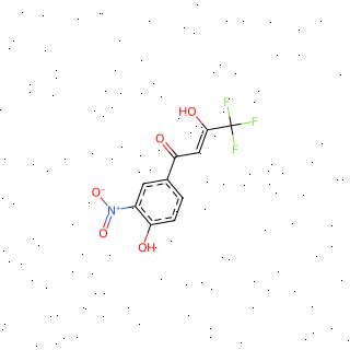 O=C(C=C(O)C(F)(F)F)c1ccc(O)c([N+](=O)[O-])c1